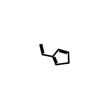 C=CC1=[C]CC=C1